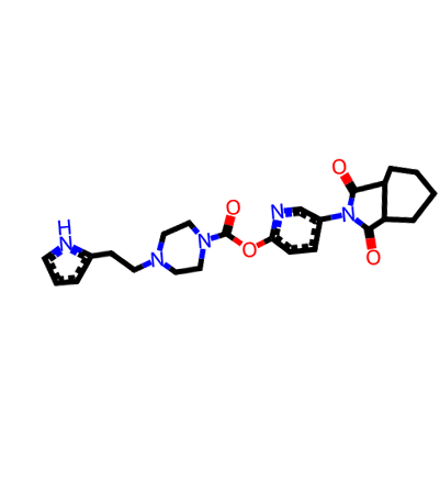 O=C(Oc1ccc(N2C(=O)C3CCCCC3C2=O)cn1)N1CCN(CCc2ccc[nH]2)CC1